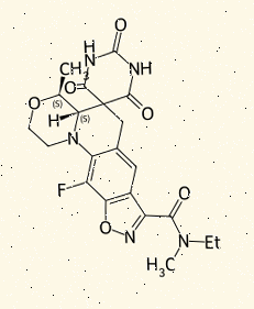 CCN(C)C(=O)c1noc2c(F)c3c(cc12)CC1(C(=O)NC(=O)NC1=O)[C@H]1[C@H](C)OCCN31